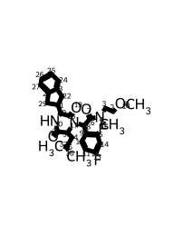 COCCN(C)C(=O)C(c1ccc(F)cc1F)N1C(=O)C(C2Cc3ccccc3C2)NC(=O)C1CC(C)C